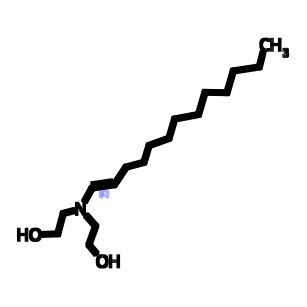 CCCCCCCCCCC/C=C/N(CCO)CCO